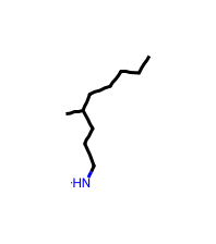 CCCCCC(C)CCC[NH]